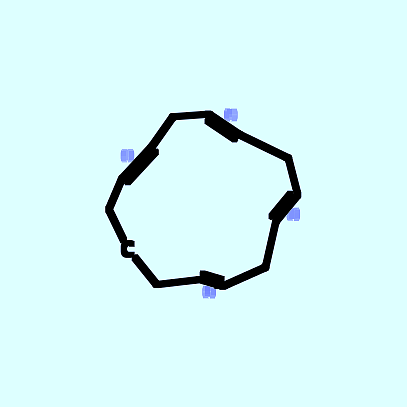 [C]1=C/CCC/C=C/C/C=C/C/C=C/C/1